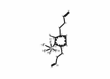 C=CCCc1ccc(CCC=C)c(S(F)(F)(F)(F)F)c1C